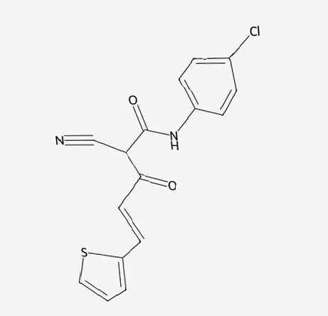 N#CC(C(=O)C=Cc1cccs1)C(=O)Nc1ccc(Cl)cc1